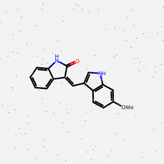 COc1ccc2c(C=C3C(=O)Nc4ccccc43)c[nH]c2c1